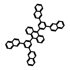 c1ccc2cc(-c3cc(-c4ccc5ccccc5c4)cc(-c4c5ccccc5c(-c5cc(-c6ccc7ccccc7c6)cc(-c6ccc7ccccc7c6)c5)c5ccccc45)c3)ccc2c1